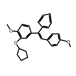 COc1ccc(/C=C(\c2ccccc2)c2ccc(OC)c(OC3CCCC3)c2)cc1